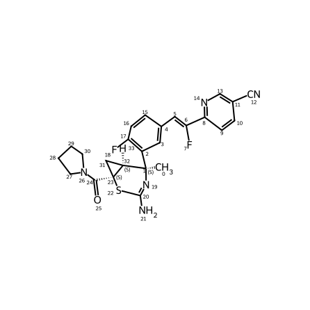 C[C@]1(c2cc(C=C(F)c3ccc(C#N)cn3)ccc2F)N=C(N)S[C@@]2(C(=O)N3CCCC3)C[C@H]21